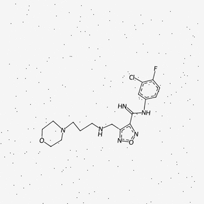 N=C(Nc1ccc(F)c(Cl)c1)c1nonc1CNCCCN1CCOCC1